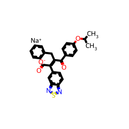 CC(C)Oc1ccc(C(=O)/C(Cc2ccccc2)=C(/C(=O)[O-])c2ccc3nsnc3c2)cc1.[Na+]